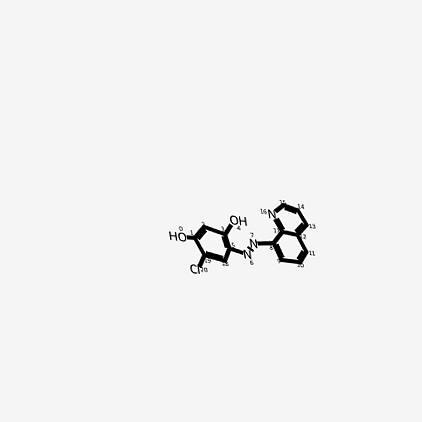 Oc1cc(O)c(/N=N/c2cccc3cccnc23)cc1Cl